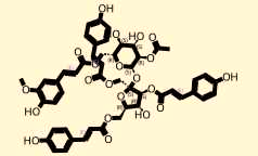 COc1cc(/C=C/C(=O)OC[C@H]2O[C@@H](O[C@]3(COC(=O)/C=C/c4ccc(O)cc4)O[C@H](COC(=O)/C=C/c4ccc(O)cc4)[C@@H](O)[C@@H]3OC(=O)/C=C/c3ccc(O)cc3)[C@H](OC(C)=O)[C@@H](O)[C@@H]2O)ccc1O